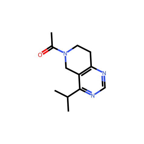 CC(=O)N1CCc2ncnc(C(C)C)c2C1